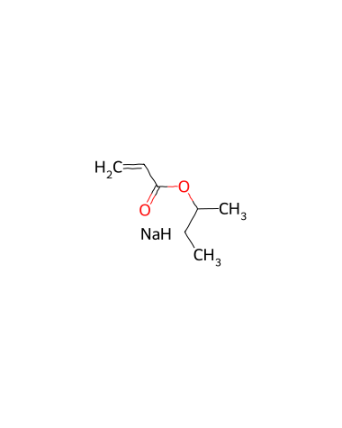 C=CC(=O)OC(C)CC.[NaH]